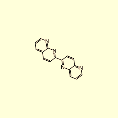 c1cnc2nc(-c3ccc4ncccc4n3)ccc2c1